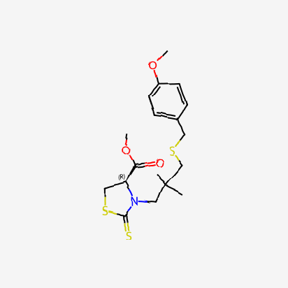 COC(=O)[C@@H]1CSC(=S)N1CC(C)(C)CSCc1ccc(OC)cc1